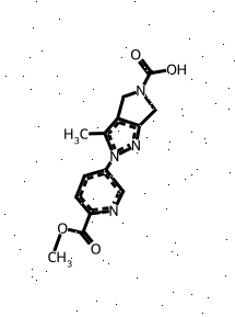 COC(=O)c1ccc(-n2nc3c(c2C)CN(C(=O)O)C3)cn1